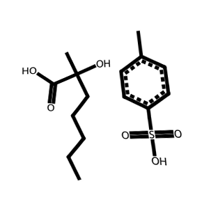 CCCCCC(C)(O)C(=O)O.Cc1ccc(S(=O)(=O)O)cc1